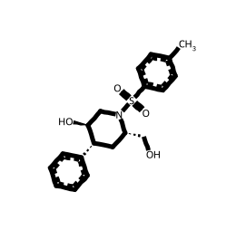 Cc1ccc(S(=O)(=O)N2C[C@H](O)[C@@H](c3ccccc3)C[C@H]2CO)cc1